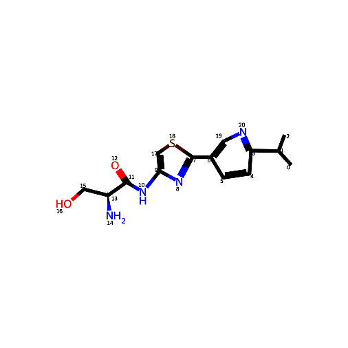 CC(C)c1ccc(-c2nc(NC(=O)[C@@H](N)CO)cs2)cn1